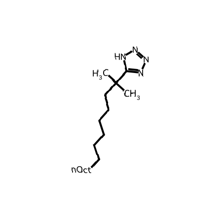 CCCCCCCCCCCCCCC(C)(C)c1nnn[nH]1